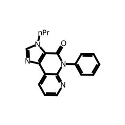 CCCn1cnc2c3cccnc3n(-c3ccccc3)c(=O)c21